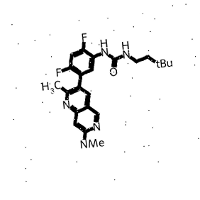 CNc1cc2nc(C)c(-c3cc(NC(=O)NCCC(C)(C)C)c(F)cc3F)cc2cn1